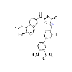 CCCC(C(=O)O)c1ccc(NC2=NC(=O)/C(=C/c3ccc(-c4ccc(N)c(C(=O)OC)c4)cc3F)S2)cc1F